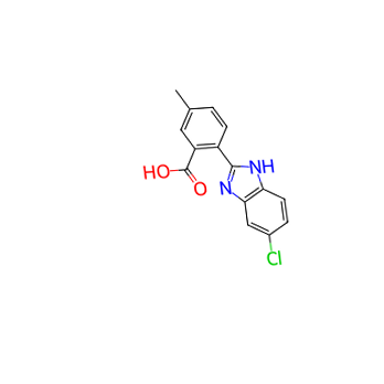 Cc1ccc(-c2nc3cc(Cl)ccc3[nH]2)c(C(=O)O)c1